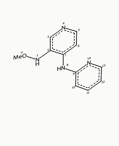 CONc1cnccc1Nc1ccccn1